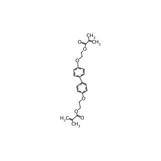 C=C(C)C(=O)OCCOc1ccc(-c2ccc(OCCOC(=O)C(=C)C)cc2)cc1